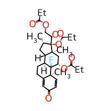 CCC(=O)OCC(=O)[C@@]1(OC(=O)CC)[C@@H](C)C[C@H]2[C@@H]3CCC4=CC(=O)C=C[C@]4(C)[C@@]3(F)[C@@H](OC(=O)CC)C[C@@]21C